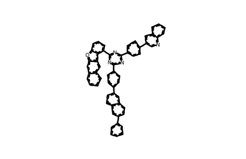 c1ccc(-c2ccc3cc(-c4ccc(-c5nc(-c6ccc(-c7cnc8ccccc8c7)cc6)nc(-c6cccc7oc8cc9ccccc9cc8c67)n5)cc4)ccc3c2)cc1